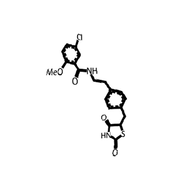 COc1ccc(Cl)cc1C(=O)NCCc1ccc(CC2SC(=O)NC2=O)cc1